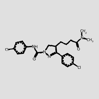 CN(C)C(=O)CCCC1CN(C(=O)Nc2ccc(Cl)cc2)N=C1c1ccc(Cl)cc1